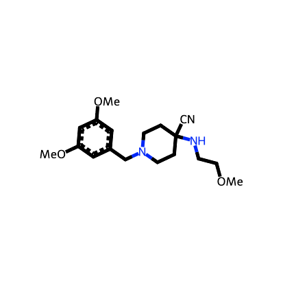 COCCNC1(C#N)CCN(Cc2cc(OC)cc(OC)c2)CC1